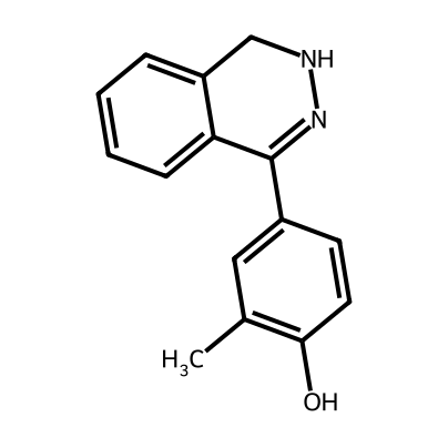 Cc1cc(C2=NNCc3ccccc32)ccc1O